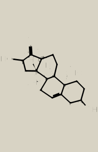 C[C@]12CC[C@@H]3[C@@H](CC=C4CC(O)CC[C@@]43C=O)[C@@H]1CC(O)C2=O